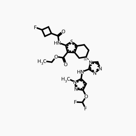 CCOC(=O)c1c(NC(=O)C2CC(F)C2)sc2c1C[C@@H](n1cnnc1Nc1cc(OC(F)F)nn1C)CC2